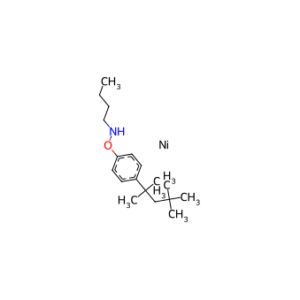 CCCCNOc1ccc(C(C)(C)CC(C)(C)C)cc1.[Ni]